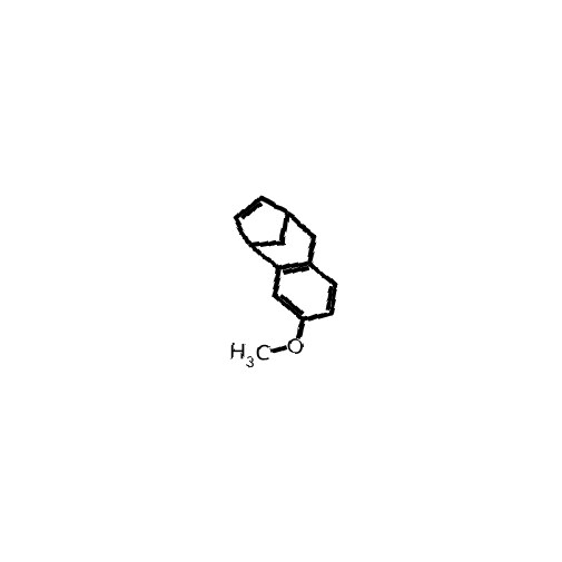 COc1ccc2c(c1)C1C=CC(C2)C1